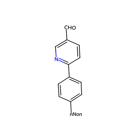 CCCCCCCCCc1ccc(-c2ccc(C=O)cn2)cc1